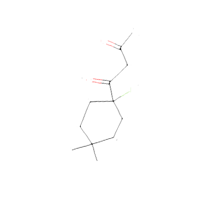 CC1(C)CCC(F)(C(=O)CC(=O)C(F)(F)F)CC1